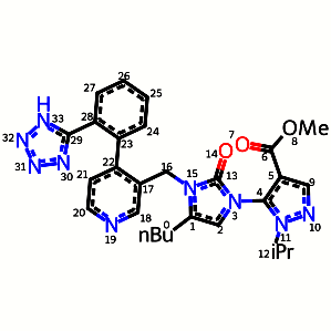 CCCCc1cn(-c2c(C(=O)OC)cnn2C(C)C)c(=O)n1Cc1cnccc1-c1ccccc1-c1nnn[nH]1